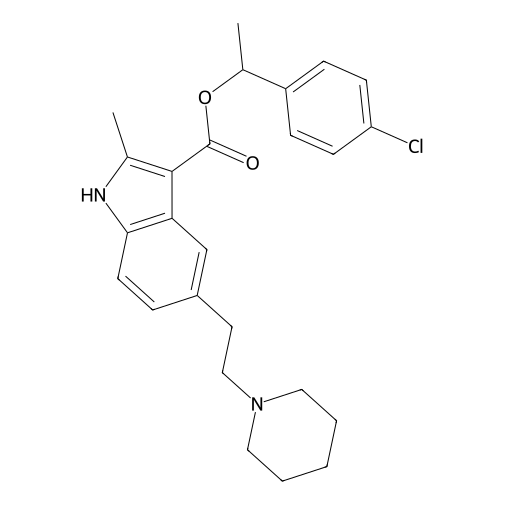 Cc1[nH]c2ccc(CCN3CCCCC3)cc2c1C(=O)OC(C)c1ccc(Cl)cc1